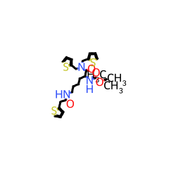 CC(C)(C)OC(=O)NC(CCCCNC(=O)Cc1cccs1)C(=O)N(Cc1cccs1)Cc1cccs1